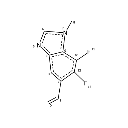 C=Cc1cc2ncn(C)c2c(F)c1F